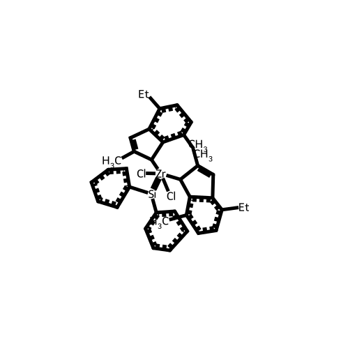 CCc1ccc(C)c2c1C=C(C)[CH]2[Zr]([Cl])([Cl])([CH]1C(C)=Cc2c(CC)ccc(C)c21)=[Si](c1ccccc1)c1ccccc1